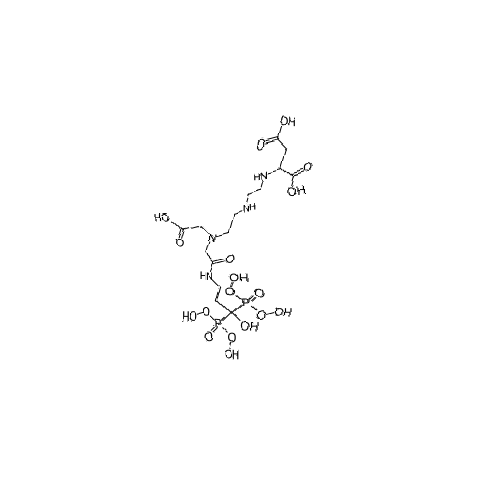 O=C(O)CC(NCCNCCN(CC(=O)O)CC(=O)NCCC(O)(P(=O)(OO)OO)P(=O)(OO)OO)C(=O)O